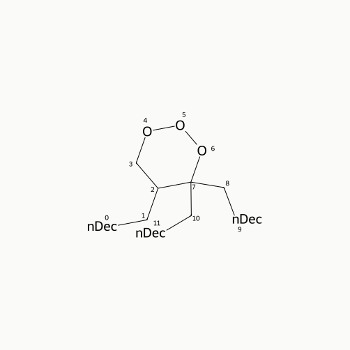 CCCCCCCCCCCC1COOOC1(CCCCCCCCCCC)CCCCCCCCCCC